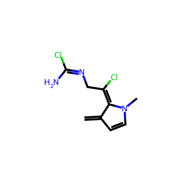 C=c1ccn(C)/c1=C(\Cl)C/N=C(\N)Cl